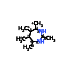 CC1NC(C)C(C)C(C)C(C)N1